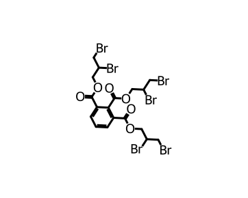 O=C(OCC(Br)CBr)c1cccc(C(=O)OCC(Br)CBr)c1C(=O)OCC(Br)CBr